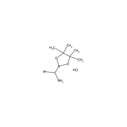 CC(C)C(N)B1OC(C)(C)C(C)(C)O1.Cl